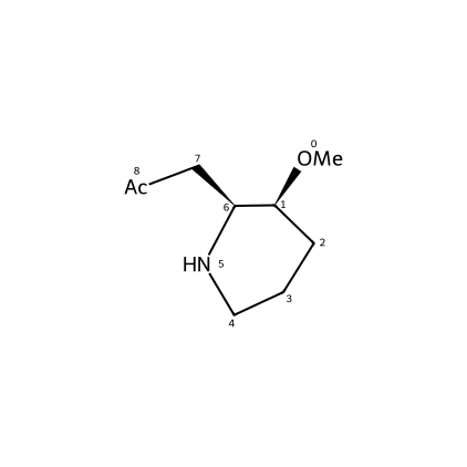 CO[C@H]1CCCN[C@H]1CC(C)=O